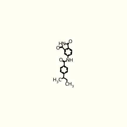 CCC(C)c1ccc(C(=O)Nc2ccc3c(c2)C(=O)NC3=O)cc1